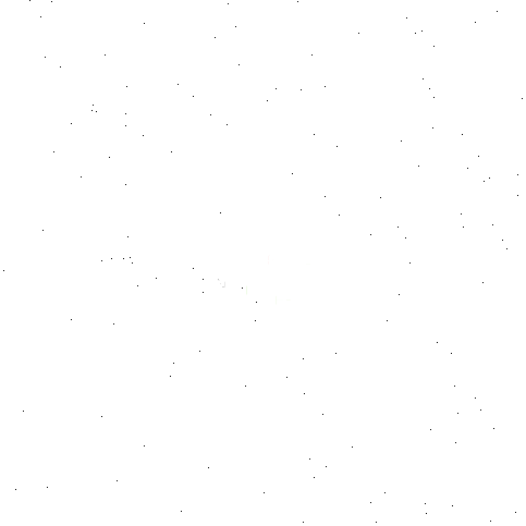 F.FB(F)F.[Ar]